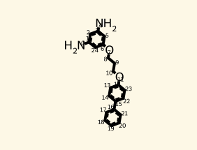 Nc1cc(N)cc(OCCCOc2ccc(-c3ccccc3)cc2)c1